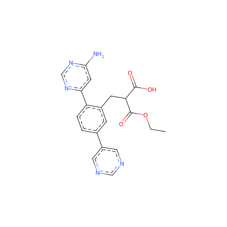 CCOC(=O)C(Cc1cc(-c2cncnc2)ccc1-c1cc(N)ncn1)C(=O)O